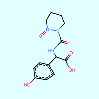 O=C(O)C(NC(=O)N1CCCC[N+]1=O)c1ccc(O)cc1